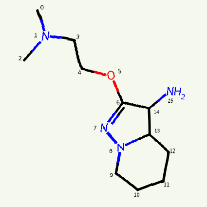 CN(C)CCOC1=NN2CCCCC2C1N